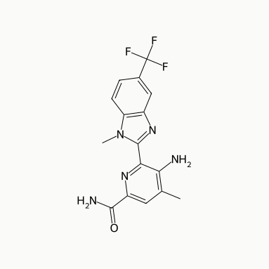 Cc1cc(C(N)=O)nc(-c2nc3cc(C(F)(F)F)ccc3n2C)c1N